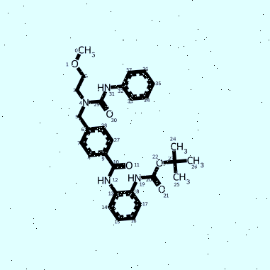 COCCN(Cc1ccc(C(=O)Nc2ccccc2NC(=O)OC(C)(C)C)cc1)C(=O)Nc1ccccc1